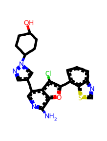 Nc1ncc(-c2cnn(C3CCC(O)CC3)c2)c2c(Cl)c(-c3cccc4ncsc34)oc12